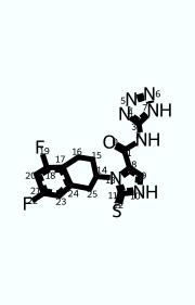 O=C(Nc1nnn[nH]1)c1c[nH]c(=S)n1C1CCc2c(F)cc(F)cc2C1